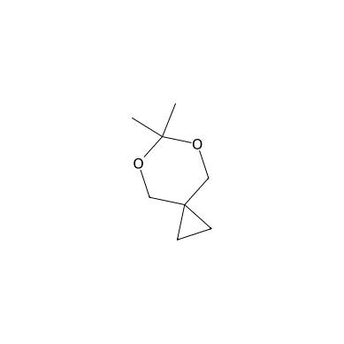 CC1(C)OCC2(CC2)CO1